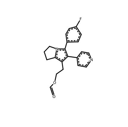 O=COCCc1c(-c2ccncc2)c(-c2ccc(F)cc2)n2c1CCC2